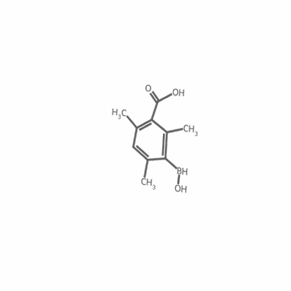 Cc1cc(C)c(C(=O)O)c(C)c1BO